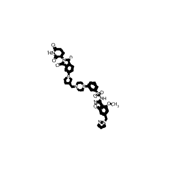 COc1cc(Cn2cccn2)cc2onc(NS(=O)(=O)c3cccc(N4CCN(CC5CCN(c6ccc7c(c6)C(=O)N(C6CCC(=O)NC6=O)C7=O)C5)CC4)c3)c12